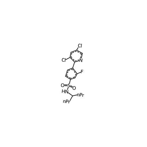 CCCC(CCC)NS(=O)(=O)c1ccc(-c2ncc(Cl)cc2Cl)c(F)c1